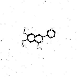 COc1cc2cc(-c3cccnc3)nc(C)c2cc1OC